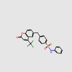 O=c1cc(C(F)(F)F)c2cc(Cc3ccc(S(=O)(=O)Nc4cc[c]cc4)cc3)ccc2o1